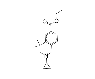 CCOC(=O)c1ccc2c(c1)C(C)(C)CN(C1CC1)C2